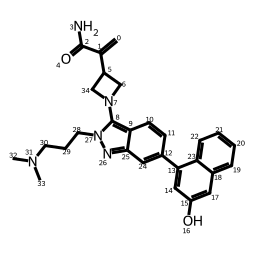 C=C(C(N)=O)C1CN(c2c3ccc(-c4cc(O)cc5ccccc45)cc3nn2CCCN(C)C)C1